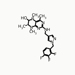 Cc1nc(NCc2cnn(Cc3ccc(F)c(F)c3F)c2)nc2c1N(C)C(O)[C@H](C)N2C